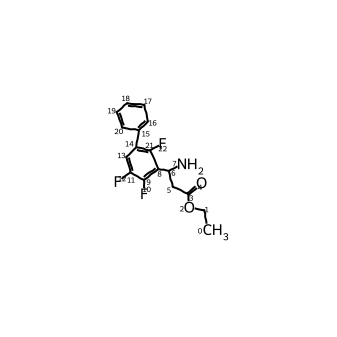 CCOC(=O)CC(N)c1c(F)c(F)cc(-c2ccccc2)c1F